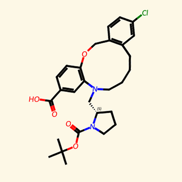 CC(C)(C)OC(=O)N1CCC[C@H]1CN1CCCCc2cc(Cl)ccc2COc2ccc(C(=O)O)cc21